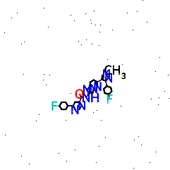 Cn1cc(-c2ccc3nc(NC(=O)c4cc(-c5ccc(F)cc5)ncn4)cn3n2)c(-c2ccc(F)cc2)n1